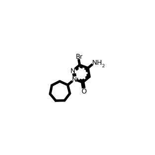 Nc1cc(=O)n(C2CCCCCC2)nc1Br